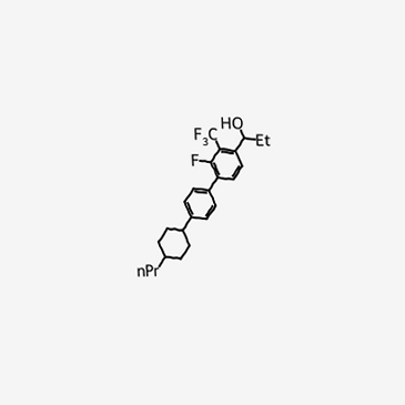 CCCC1CCC(c2ccc(-c3ccc(C(O)CC)c(C(F)(F)F)c3F)cc2)CC1